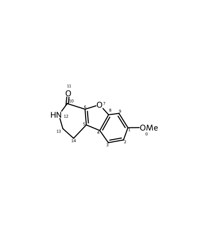 COc1ccc2c3c(oc2c1)C(=O)NCC3